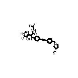 N#C[C@H]1CCN(Cc2ccc(C#Cc3ccc(CC(C(=O)NCC(F)F)c4nc[nH]c(=O)c4O)cc3)cc2)C1